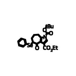 CCOC(=O)c1cn(C(=O)OC(C)(C)C)c2c1C(=O)C([Se]c1ccccc1)CCC2